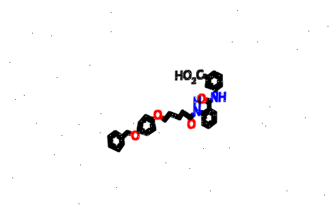 O=C(CCCCOc1ccc(OCc2ccccc2)cc1)Nc1ccccc1C(=O)Nc1cccc(C(=O)O)c1